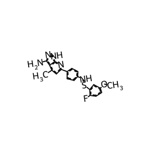 COc1ccc(F)c(SNc2ccc(-c3cc(C)c4c(N)n[nH]c4n3)cc2)c1